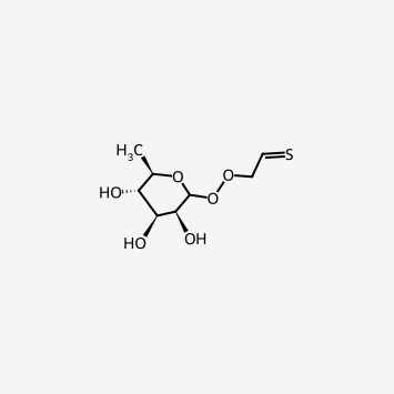 C[C@H]1OC(OOCC=S)[C@@H](O)[C@@H](O)[C@@H]1O